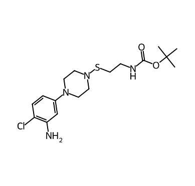 CC(C)(C)OC(=O)NCCSN1CCN(c2ccc(Cl)c(N)c2)CC1